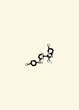 FC(F)(F)c1nc2ccc(Cl)cn2c1-c1nccc(Nc2ccc(Cl)cc2)n1